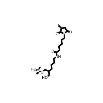 C=P(C)(O)OCC(CO)CCCCNC(=O)CCCCCN1C(=O)CC(I)C1=O